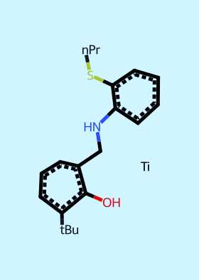 CCCSc1ccccc1NCc1cccc(C(C)(C)C)c1O.[Ti]